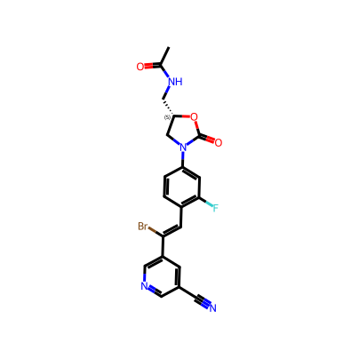 CC(=O)NC[C@H]1CN(c2ccc(C=C(Br)c3cncc(C#N)c3)c(F)c2)C(=O)O1